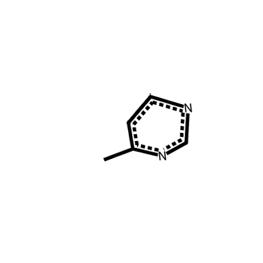 Cc1c[c]ncn1